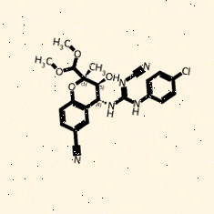 COC(OC)[C@@]1(C)Oc2ccc(C#N)cc2[C@@H](NC(=NC#N)Nc2ccc(Cl)cc2)[C@@H]1O